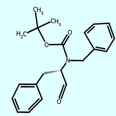 CC(C)(C)OC(=O)N(Cc1ccccc1)[C@H](C=O)Cc1ccccc1